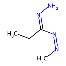 CCC(/N=N\C)=N/N